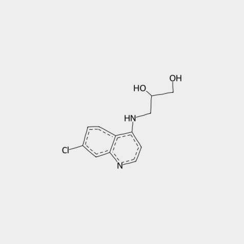 OCC(O)CNc1ccnc2cc(Cl)ccc12